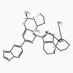 C[C@H](Oc1cc(-c2ccn3ncnc3c2)nc(-c2noc3c2CCC[C@@]32CCCc3sc(N)c(C#N)c32)n1)[C@@H]1CCCN1C